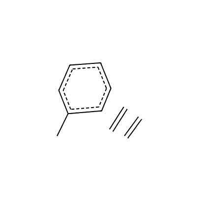 C=C.C=C.Cc1ccccc1